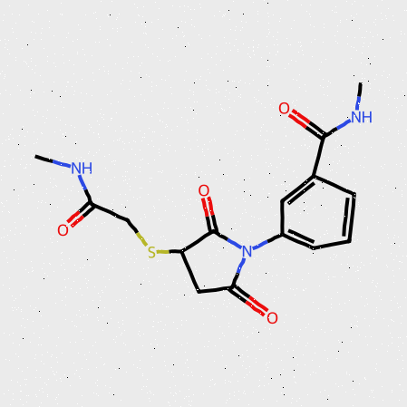 CNC(=O)CSC1CC(=O)N(c2cccc(C(=O)NC)c2)C1=O